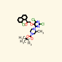 C[C@H]1CN(C(=O)OC(C)(C)C)CCN1c1nc(Cl)nc(Cl)c1OCC(=O)c1cccc2cccc(Cl)c12